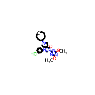 COc1nc(OC)nc(N2CN(c3ccccc3)C3(CCN(C4CCCCCCCCC4)CC3)C2=O)n1.Cl